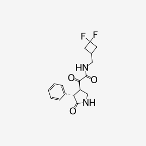 O=C(NCC1CC(F)(F)C1)C(=O)[C@H]1CNC(=O)[C@@H]1c1ccccc1